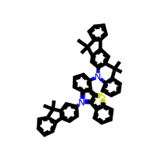 CC1(C)c2ccccc2-c2ccc(-n3c4cccc(N5c6ccccc6C(C)(C)c6cc7c(cc65)C(C)(C)c5ccccc5-7)c4c4sc5ccccc5c43)cc21